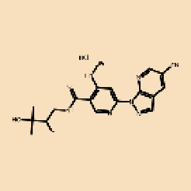 CC(C)Nc1cc(-n2ncc3cc(C#N)cnc32)ncc1C(=O)NCC(F)C(C)(C)O.Cl